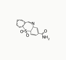 NC(=O)C1=CC2N=Cc3ccccc3S(=O)(=O)C2C=C1